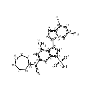 CCS(=O)(=O)n1nc(-c2cnc3c(F)cc(F)cn23)c2c(C)nc(C(=O)N3CCCOCC3)cc21